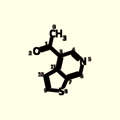 CC(=O)c1cncc2sccc12